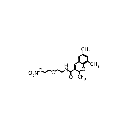 Cc1cc(C)c2c(c1)C=C(C(=O)NCCOCCO[N+](=O)[O-])C(C(F)(F)F)O2